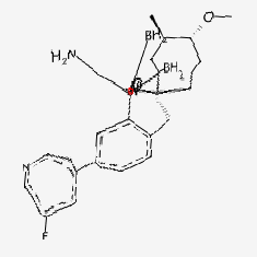 BC1(B)OC(N)=N[C@]12c1cc(-c3cncc(F)c3)ccc1C[C@]21CC[C@@H](OC)[C@H](C)C1